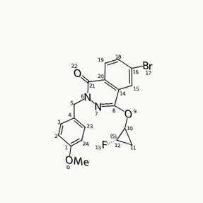 COc1ccc(Cn2nc(OC3C[C@@H]3F)c3cc(Br)ccc3c2=O)cc1